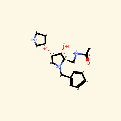 C1CCNC1.CC(=O)NC[C@@H]1[C@@H](O)[C@@H](O)CN1Cc1ccccc1